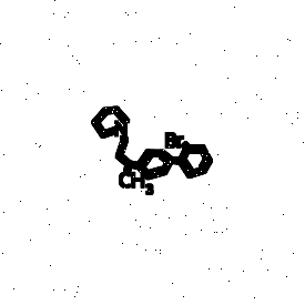 CC(CCN1CCCCC1)c1ccc(-c2ccccc2Br)cc1